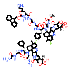 CC[C@@]1(O)C(=O)OCc2c1cc1n(c2=O)Cc2c-1nc1cc(F)c(C)c3c1c2[C@@H](N(CC(=O)NC(=O)OC(C)(C)C)C(=O)[C@H](Cc1ccccc1)NC(=O)CNC(=O)CNC(=O)[C@H](CCCCN)NC(=O)OCC1c2ccccc2-c2ccccc21)CC3.CC[C@@]1(O)C(=O)OCc2c1cc1n(c2=O)Cc2c-1nc1cc(F)c(C)c3c1c2[C@@H](N(CC(N)=O)C(=O)[C@H](Cc1ccccc1)NC(=O)CNC(=O)CN)CC3